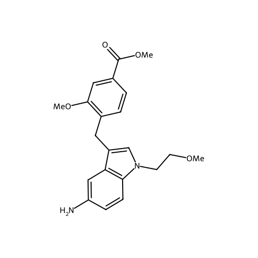 COCCn1cc(Cc2ccc(C(=O)OC)cc2OC)c2cc(N)ccc21